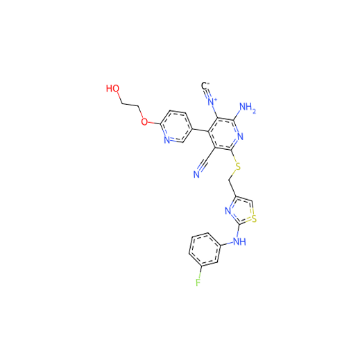 [C-]#[N+]c1c(N)nc(SCc2csc(Nc3cccc(F)c3)n2)c(C#N)c1-c1ccc(OCCO)nc1